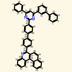 c1ccc(-c2cccc(-c3cc(-c4ccccc4)nc(-c4ccc(-c5ccc(-c6nc7ccccc7c7c6ccc6ccccc67)cc5)cc4)n3)c2)cc1